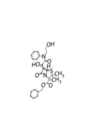 CC1(C)S[C@@H]2[C@H]([C@H](O)C(=O)N(CCO)c3ccccc3)C(=O)N2[C@H]1C(=O)OCc1ccccc1